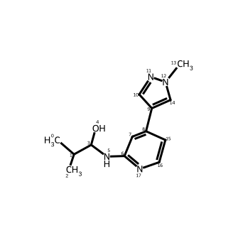 CC(C)C(O)Nc1cc(-c2cnn(C)c2)ccn1